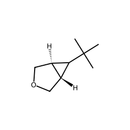 CC(C)(C)C1[C@@H]2COC[C@@H]12